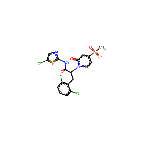 CS(=O)(=O)c1ccn(C(Cc2c(Cl)cccc2Cl)C(=O)Nc2ncc(Cl)s2)c(=O)c1